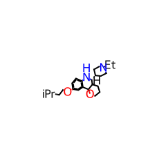 CCN1CCC([C@H]2Nc3ccc(OCCC(C)C)cc3C3OCCC[C@H]32)CC1